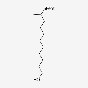 CCCCCC(C)CCCCCCCCCO